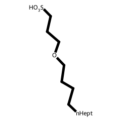 CCCCCCCCCCCOCCCS(=O)(=O)O